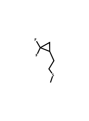 CSCCC1CC1(F)F